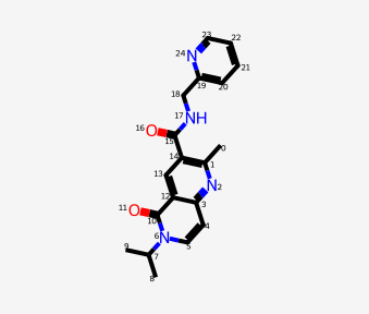 Cc1nc2ccn(C(C)C)c(=O)c2cc1C(=O)NCc1ccccn1